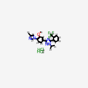 COc1cc(-c2nc(-c3ccccc3C(F)(F)F)n(C(C)C)n2)ccc1-n1cnc(C)c1.Cl.Cl